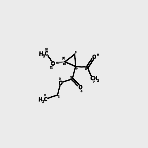 CCOC(=O)C1(C(C)=O)C[C@H]1OC